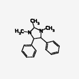 CC1N(C)C(c2ccccc2)C(c2ccccc2)N1C